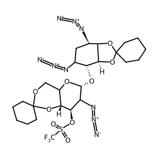 [N-]=[N+]=NC1C[C@@H](N=[N+]=[N-])C2OC3(CCCCC3)O[C@H]2[C@@H]1O[C@H]1OC2COC3(CCCCC3)O[C@H]2[C@H](OS(=O)(=O)C(F)(F)F)C1N=[N+]=[N-]